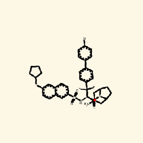 NC1CC2CCC(C1)N2C(=O)[C@@H](NS(=O)(=O)c1ccc2cc(OC3CCCC3)ccc2c1)C(F)(F)c1ccc(-c2ccc(Cl)cc2)cc1